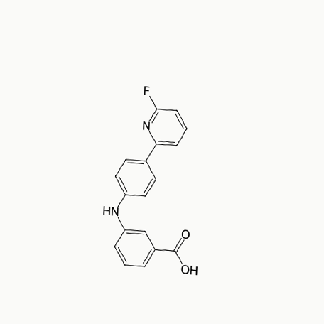 O=C(O)c1cccc(Nc2ccc(-c3cccc(F)n3)cc2)c1